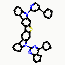 c1ccc(-c2ccnc(-n3c4ccccc4c4cc5c(cc43)sc3cc4c(cc35)c3ccccc3n4-c3nc(-c4ccccc4)c4ccccc4n3)c2)cc1